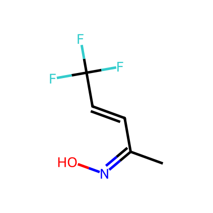 CC(C=CC(F)(F)F)=NO